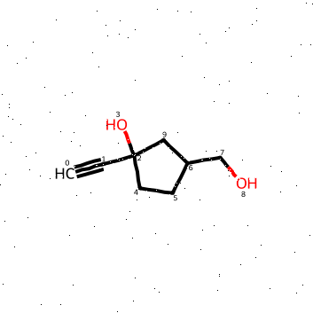 C#CC1(O)CCC(CO)C1